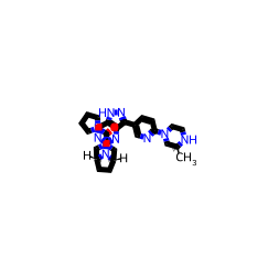 C[C@@H]1CN(c2ccc(-c3n[nH]c4cnc(N5[C@@H]6CC[C@H]5CN(C(=O)N5CCCC5)C6)nc34)cn2)CCN1